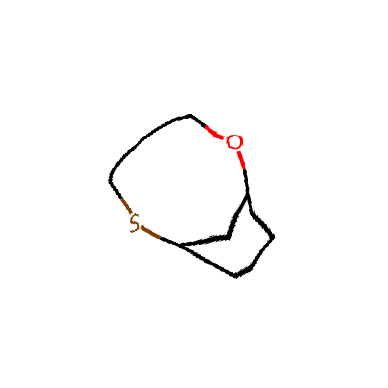 C1COC2CCC(C2)SC1